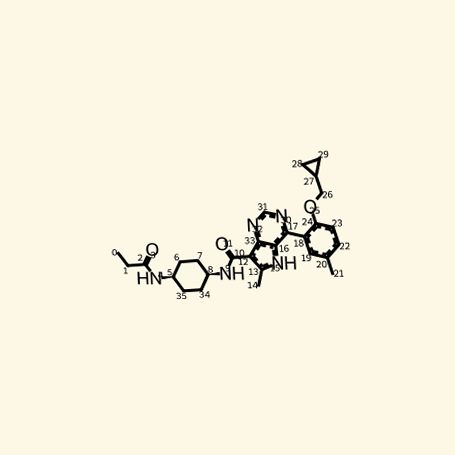 CCC(=O)N[C@H]1CC[C@@H](NC(=O)c2c(C)[nH]c3c(-c4cc(C)ccc4OCC4CC4)ncnc23)CC1